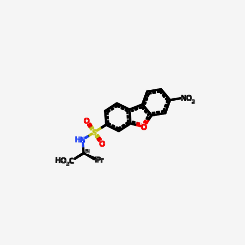 CC(C)[C@H](NS(=O)(=O)c1ccc2c(c1)oc1cc([N+](=O)[O-])ccc12)C(=O)O